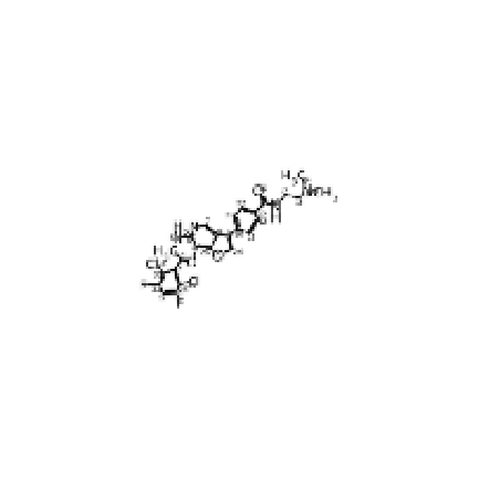 CC(Oc1c(N)ncc2c(-c3ccc(C(=O)NCCN(C)C)cc3)coc12)c1c(Cl)c(F)cc(F)c1Cl